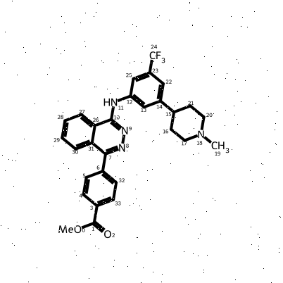 COC(=O)c1ccc(-c2nnc(Nc3cc(C4CCN(C)CC4)cc(C(F)(F)F)c3)c3ccccc23)cc1